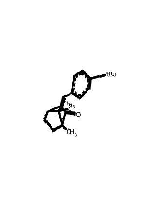 CC(C)(C)c1ccc(C=C2C(=O)C3(C)CCC2C3(C)C)cc1